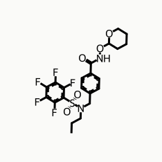 CCCN(Cc1ccc(C(=O)NOC2CCCCO2)cc1)S(=O)(=O)c1c(F)c(F)c(F)c(F)c1F